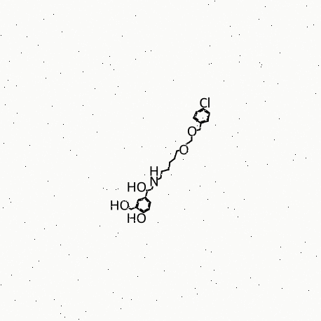 OCc1cc([C@@H](O)CNCCCCCCOCCOCc2ccc(Cl)cc2)ccc1O